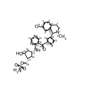 CN1CCc2ccc(Cl)cc2C1c1csc(C(=O)c2cncnc2N[C@@H]2C[C@H](COS(N)(=O)=O)[C@@H](O)C2)c1